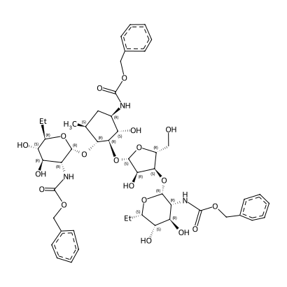 CC[C@@H]1O[C@H](O[C@H]2[C@@H](O)[C@H](O[C@@H]3[C@@H](O)[C@H](NC(=O)OCc4ccccc4)C[C@H](C)[C@H]3O[C@H]3O[C@H](CC)[C@@H](O)[C@H](O)[C@H]3NC(=O)OCc3ccccc3)O[C@@H]2CO)[C@H](NC(=O)OCc2ccccc2)[C@@H](O)[C@@H]1O